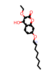 CCCCCC/C=C/Oc1ccc2c(O)c(OCC)c(=O)oc2c1